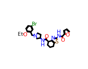 CCOc1ccc(Br)cc1CN1CCC(NC(=O)C2CCCc3sc(NC(=O)c4ccco4)nc32)C1